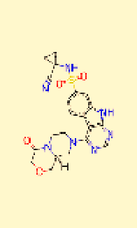 N#CC1(NS(=O)(=O)c2ccc3c(c2)[nH]c2ncnc(N4CCN5C(=O)COC[C@H]5C4)c23)CC1